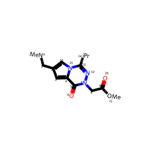 CNCc1cc2c(=O)n(CC(=O)OC)nc(C(C)C)n2c1